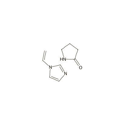 C=Cn1ccnc1.O=C1CCCN1